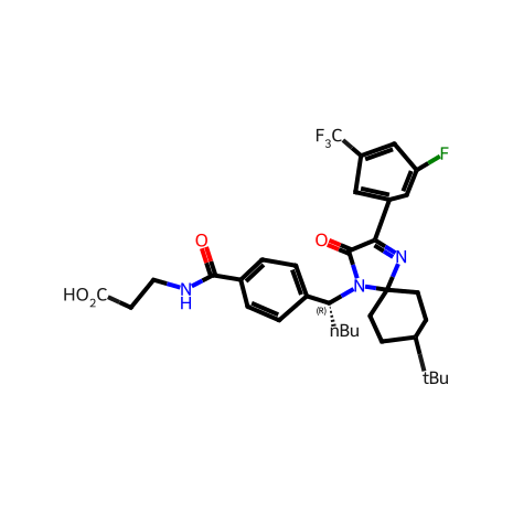 CCCC[C@H](c1ccc(C(=O)NCCC(=O)O)cc1)N1C(=O)C(c2cc(F)cc(C(F)(F)F)c2)=NC12CCC(C(C)(C)C)CC2